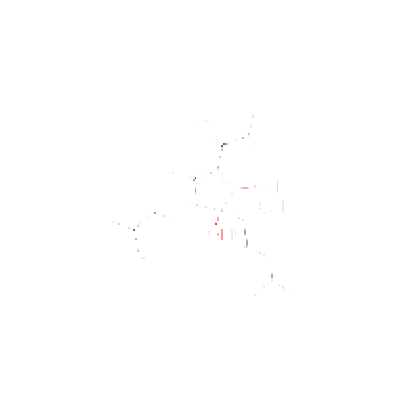 CC(C)CC[C@@H](O)[C@@]1(O)C(O)=C(C(=O)C(C)C)C(=O)[C@H]1CCC(C)C